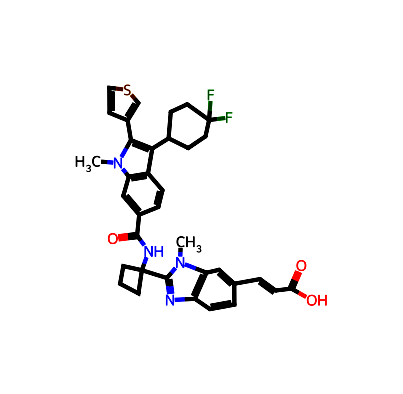 Cn1c(C2(NC(=O)c3ccc4c(C5CCC(F)(F)CC5)c(-c5ccsc5)n(C)c4c3)CCC2)nc2ccc(/C=C/C(=O)O)cc21